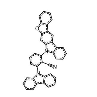 N#Cc1c(-n2c3ccccc3c3ccccc32)cccc1-n1c2ccccc2c2cc3c(cc21)oc1ccccc13